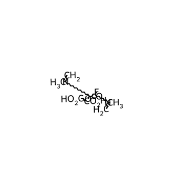 C=CCN(C)CC=CCOc1ccc(C(=O)C=CCCCCCCCCCCN(C)CC=C)cc1F.O=C(O)C=CC(=O)O